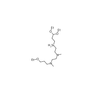 CCOCCCN(C)CCN(C)CC[SiH2]CCC(OCC)OCC